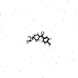 CN(C=S)N1CCC(C(=O)c2ccc(F)cc2)CC1